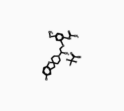 COc1ccc(NC(C)=O)c(OCC(C)N2CCC3(CC2)Cc2cc(Cl)ccc2O3)c1.O=C(O)C(F)(F)F